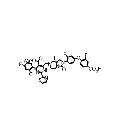 COC(=O)C1=C(CN2CCN3C(=O)N(c4ccc(Oc5ccc(C(=O)O)cc5F)cc4F)C[C@@H]3C2)NC(c2nccs2)=N[C@H]1c1ccc(F)cc1Cl